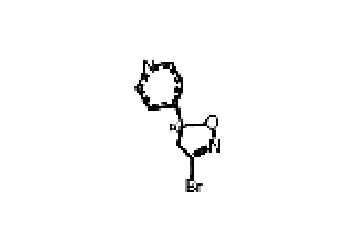 BrC1=NO[C@H](c2ccncc2)C1